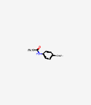 [CH2]OC(=O)Nc1ccc(OC)cc1